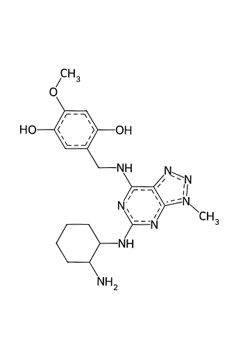 COc1cc(O)c(CNc2nc(NC3CCCCC3N)nc3c2nnn3C)cc1O